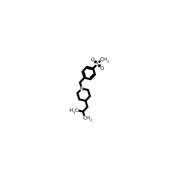 CC(C)CC1CCN(Cc2ccc(S(C)(=O)=O)cc2)CC1